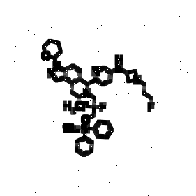 C[C@@H]1Cc2c(ccc3c2cnn3C2CCCCO2)[C@@H](c2ccc(NC3CN(CCCF)C3)cn2)N1CC(F)(F)CO[Si](c1ccccc1)(c1ccccc1)C(C)(C)C